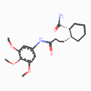 COc1cc(NC(=O)CC[C@H]2CCCC[C@H]2C(N)=O)cc(OC)c1OC